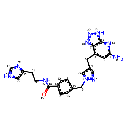 Nc1cc(Cc2cnn(Cc3ccc(C(=O)NCCc4c[nH]cn4)cc3)c2)c2nn[nH]c2n1